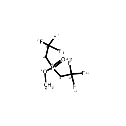 COP(=O)(CC(F)(F)F)CC(F)(F)F